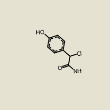 [NH]C(=O)C(Cl)c1ccc(O)cc1